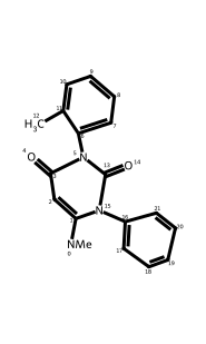 CNc1cc(=O)n(-c2ccccc2C)c(=O)n1-c1ccccc1